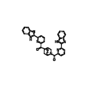 O=C(c1cccc(-c2nc3ccccc3[nH]2)n1)N1CC2CCC1CN2C(=O)c1cccc(-c2nc3ccccc3[nH]2)n1